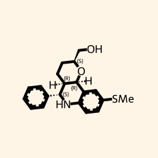 CSc1ccc2c(c1)[C@@H]1O[C@H](CO)CC[C@@H]1[C@@H](c1ccccc1)N2